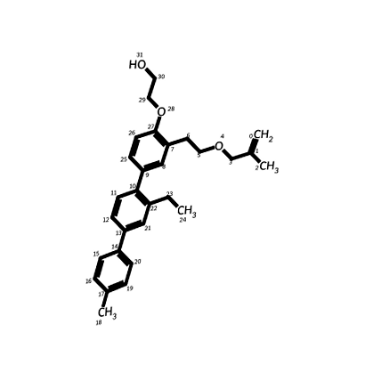 C=C(C)COCCc1cc(-c2ccc(-c3ccc(C)cc3)cc2CC)ccc1OCCO